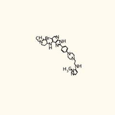 CCN1CCC(Nc2c(Br)cnc3[nH]c(-c4ccc(N5CCN(CCNc6ccnn6C)CC5)cc4)nc23)CC1